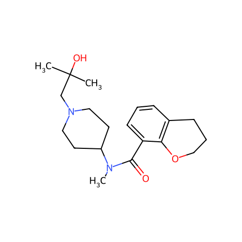 CN(C(=O)c1cccc2c1OCCC2)C1CCN(CC(C)(C)O)CC1